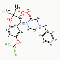 CC1(C)Oc2ccc(OC(F)F)cc2C(N2CCN(Cc3ccccc3)CC2=O)C1O